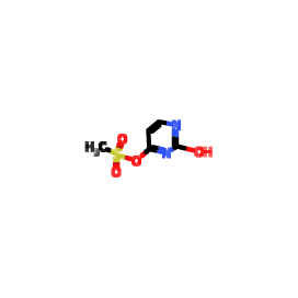 CS(=O)(=O)Oc1ccnc(O)n1